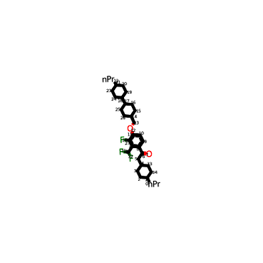 CCCC1CCC(CC(=O)c2ccc(OCC3CCC(C4CCC(CCC)CC4)CC3)c(F)c2C(F)F)CC1